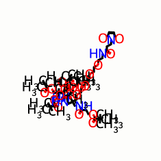 CC(C)(C)C(=O)OCCC(=O)NCC(CNC(=O)C(C)(COC(=O)C(C)(C)C)COC(=O)C(C)(C)C)(CNC(=O)C(C)(COC(=O)C(C)(C)C)COC(=O)C(C)(C)C)COCCOCCOCCOCCNC(=O)CCN1C(=O)C=CC1=O